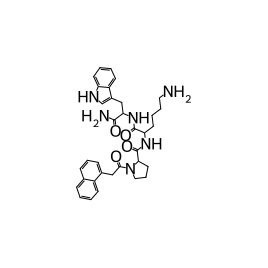 NCCCCC(NC(=O)C1CCCN1C(=O)Cc1cccc2ccccc12)C(=O)NC(Cc1c[nH]c2ccccc12)C(N)=O